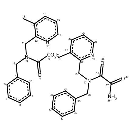 CCOC(=O)C(=O)N(Cc1ccccc1)Cc1ncccc1C.Cc1cccnc1CN(Cc1ccccc1)C(=O)C(N)=O